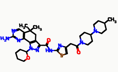 CC1CCN(C2CCN(C(=O)Cc3csc(NC(=O)c4nn(C5CCCCO5)c5c4CC(C)(C)c4cnc(N)nc4-5)n3)CC2)CC1